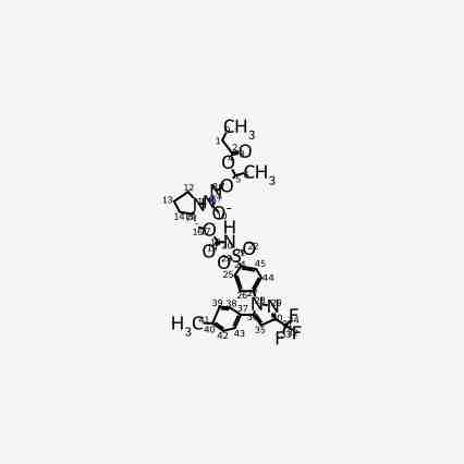 CCC(=O)OC(C)O/N=[N+](\[O-])N1CCC[C@H]1COC(=O)NS(=O)(=O)c1ccc(-n2nc(C(F)(F)F)cc2-c2ccc(C)cc2)cc1